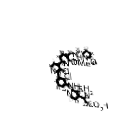 COc1nc(-c2ccnc(-c3cccc(Nc4nccc([C@H](N)CC(=O)O)c4F)c3Cl)c2Cl)ccc1CNC[C@@H]1CCC(=O)N1